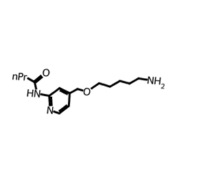 CCCC(=O)Nc1cc(COCCCCCN)ccn1